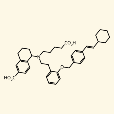 O=C(O)CCCCN(CCc1ccccc1OCc1ccc(/C=C/C2CCCCC2)cc1)C1CCCc2cc(C(=O)O)ccc21